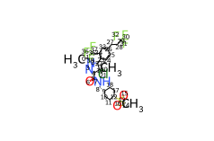 CCN1N=C(C(=O)NC[C@H]2CC[C@H](S(C)(=O)=O)CC2)C(C)(Cl)C1c1ccc(CCC(F)(F)F)cc1C(F)(F)F